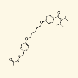 CC(=O)N=NCc1ccc(OCCCCCOc2ccc(C(=O)N(C(C)C)C(C)C)cc2)cc1